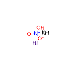 I.O=[N+]([O-])O.[KH]